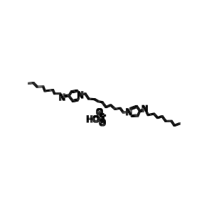 CCCCCCCCN=c1ccn(CCCCCCCCCCn2ccc(=NCCCCCCCC)cc2)cc1.CS(=O)(=O)O